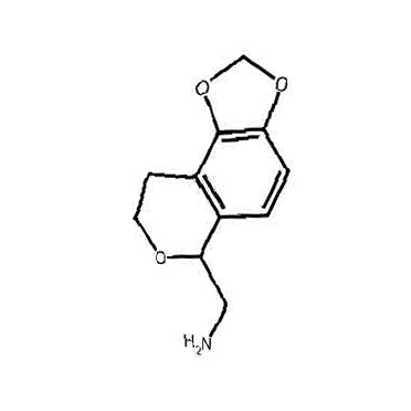 NCC1OCCc2c1ccc1c2OCO1